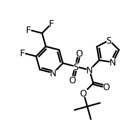 CC(C)(C)OC(=O)N(c1cscn1)S(=O)(=O)c1cc(C(F)F)c(F)cn1